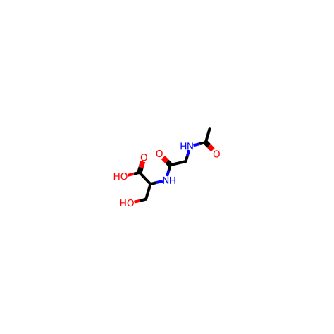 CC(=O)NCC(=O)NC(CO)C(=O)O